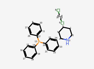 C1CCNCC1.[Cl][Pd][Cl].c1ccc(P(c2ccccc2)c2ccccc2)cc1